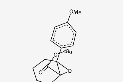 COc1ccc(C23CCCCC2(C(=O)OC(C)(C)C)O3)cc1